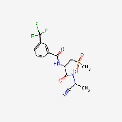 CC(C#N)NC(=O)C(CS(C)(=O)=O)NC(=O)c1cccc(C(F)(F)F)c1